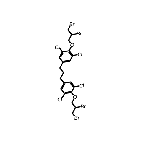 Clc1cc(CCCc2cc(Cl)c(OCC(Br)CBr)c(Cl)c2)cc(Cl)c1OCC(Br)CBr